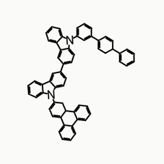 C1=CC(c2ccccc2)CC=C1c1cccc(-n2c3ccccc3c3cc(-c4ccc5c(c4)c4ccccc4n5C4=CC=C5c6ccccc6-c6ccccc6C5C4)ccc32)c1